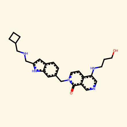 O=c1c2cncc(NCCCO)c2ccn1Cc1ccc2cc(CNCC3CCC3)[nH]c2c1